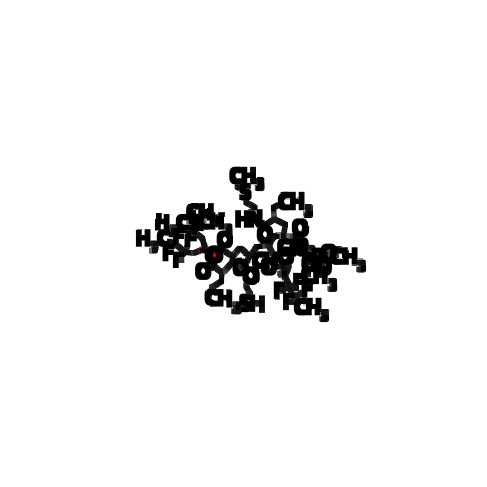 CCCC(CC(CC(C)(CC(CC(C)(CC(CC)C(=O)NCCSCC)C(=O)OCP(=O)(OC)OC)C(=O)OCCC(F)(F)C(C)(F)F)C(=O)OCCS)C(=O)OCCC(F)(F)C(C)(F)F)C(=O)OCCC[Si](C)(C)C